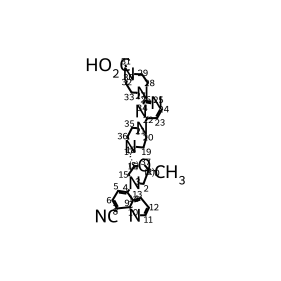 C[C@@H]1CN(c2ccc(C#N)c3ncccc23)C[C@H](CN2CCN(c3ccnc(N4CCN(C(=O)O)CC4)n3)CC2)O1